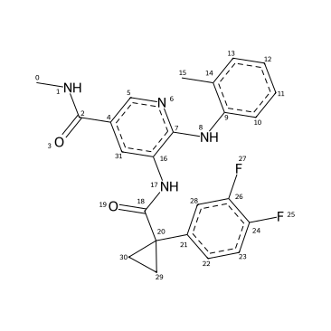 CNC(=O)c1cnc(Nc2ccccc2C)c(NC(=O)C2(c3ccc(F)c(F)c3)CC2)c1